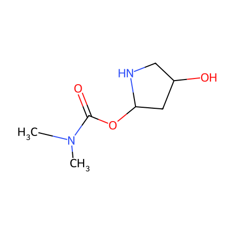 CN(C)C(=O)OC1CC(O)CN1